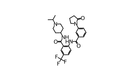 CC(C)N1CCC(NC(=O)c2cc(C(F)(F)F)ccc2NC(=O)c2cccc(N3CCCC3=O)c2)CC1